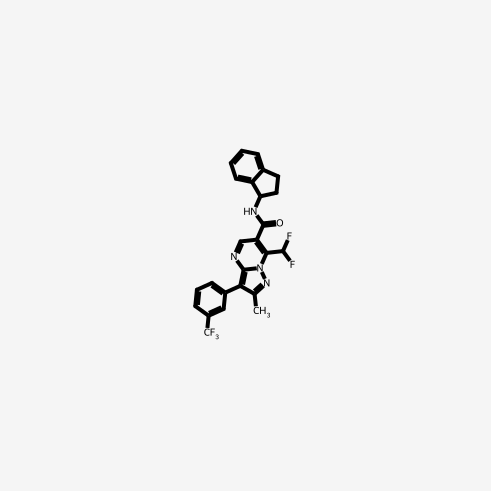 Cc1nn2c(C(F)F)c(C(=O)NC3CCc4ccccc43)cnc2c1-c1cccc(C(F)(F)F)c1